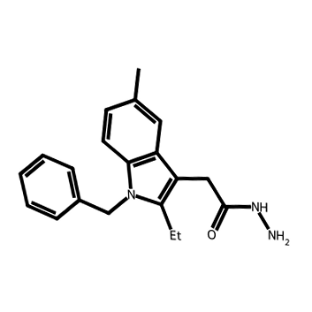 CCc1c(CC(=O)NN)c2cc(C)ccc2n1Cc1ccccc1